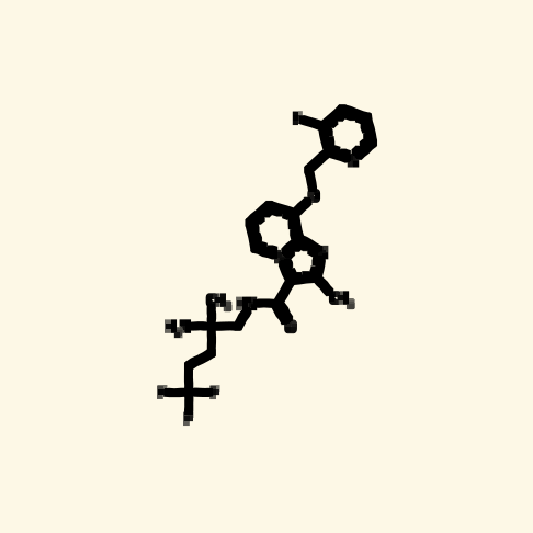 Cc1nc2c(OCc3ncccc3F)cccn2c1C(=O)NCC(C)(N)CCC(F)(F)F